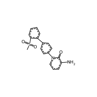 CS(=O)(=O)c1ccccc1-c1ccc(-n2cccc(N)c2=O)cc1